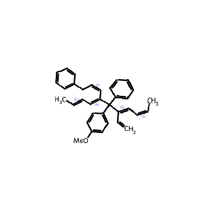 C=C/C(=C\C=C/C)C(C(/C=C\Cc1ccccc1)=C/C=C/C)(c1ccccc1)c1ccc(OC)cc1